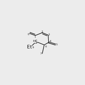 C=C/C=C\C(=C)C(C)SCC